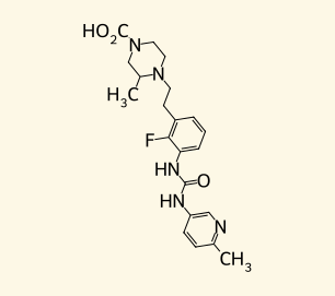 Cc1ccc(NC(=O)Nc2cccc(CCN3CCN(C(=O)O)CC3C)c2F)cn1